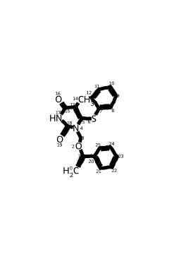 C=C(OCn1c(Sc2ccccc2)c(C)c(=O)[nH]c1=O)c1ccccc1